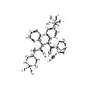 N#CN1CC2C[C@@]1(C(=O)N(c1ccc(S(F)(F)(F)(F)F)cc1)C(C(=O)NC1CCC(F)(F)CC1)c1cccnc1)CO2